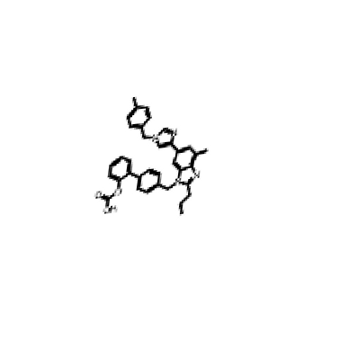 CCCc1nc2c(C)cc(-c3cn(Cc4ccc(C)cc4)cn3)cc2n1Cc1ccc(-c2ccccc2OC(=O)O)cc1